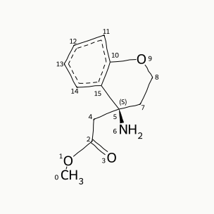 COC(=O)C[C@@]1(N)CCOc2ccccc21